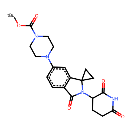 CC(C)(C)OC(=O)N1CCN(c2ccc3c(c2)C2(CC2)N(C2CCC(=O)NC2=O)C3=O)CC1